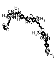 COc1cc2c(cc1OCCCCCOc1cc3c(cc1OC)C(=O)N1C=C(c4ccc(N5CCN(C)CC5)cc4)C[C@H]1C=N3)N=C[C@@H]1CC(c3ccc(NC(=O)[C@H](C)NC(=O)C(NC(=O)CCCCCN4C(=O)C=CC4=O)C(C)C)cc3)=CN1C2=O